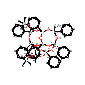 CO[Si@]1(c2ccccc2)O[Si]2(c3ccccc3)O[Si](O[Si](C)(C)C)(c3ccccc3)O[Si]3(c4ccccc4)O[Si](O[Si](C)(C)O[Si](C)(C)C)(c4ccccc4)O[Si@@](c4ccccc4)(O[Si](c4ccccc4)(O3)O2)O1